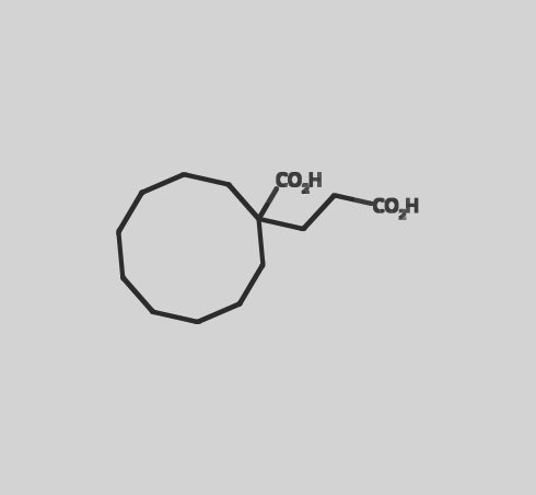 O=C(O)CCC1(C(=O)O)CCCCCCCCC1